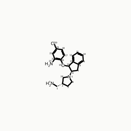 NC[C@H]1CCN([C@@H]2Cc3ccccc3C2Oc2ccc(Cl)cc2N)C1